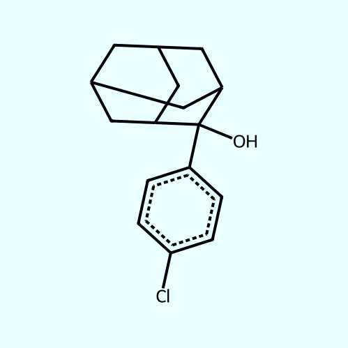 OC1(c2ccc(Cl)cc2)C2CC3CC(C2)CC1C3